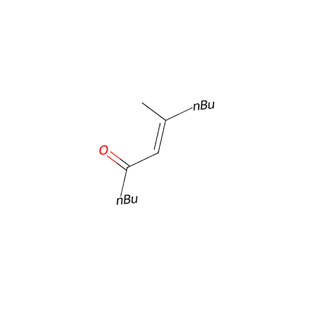 CCCCC(=O)C=C(C)CCCC